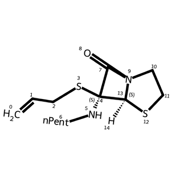 C=CCS[C@@]1(NCCCCC)C(=O)N2CCS[C@H]21